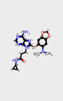 CN(C)c1cc2c(cc1Sc1nc3c(N)ncnc3n1CCC(=O)NC1CC1)OCO2